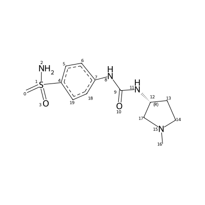 C=S(N)(=O)c1ccc(NC(=O)N[C@@H]2CCN(C)C2)cc1